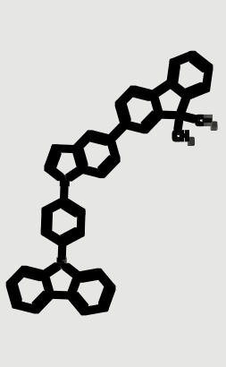 CC1(C)c2ccccc2-c2ccc(-c3ccc4c(ccn4-c4ccc(-n5c6ccccc6c6ccccc65)cc4)c3)cc21